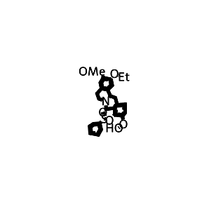 CCOc1cc2c(cc1OC)CCN1Cc3c(ccc(OO)c3OS(=O)c3ccccc3)CC21